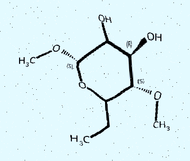 CCC1O[C@H](OC)C(O)[C@@H](O)[C@@H]1OC